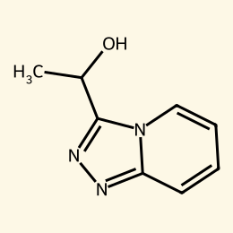 CC(O)c1nnc2ccccn12